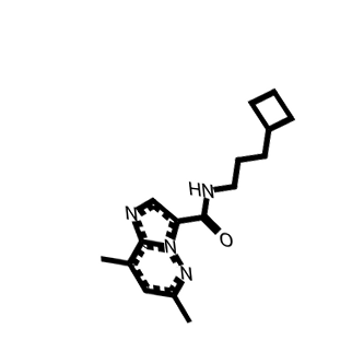 Cc1cc(C)c2ncc(C(=O)NCCCC3CCC3)n2n1